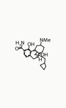 CNC1CC[C@@]2(O)[C@H]3Cc4ccc(C(N)=O)c(O)c4[C@@]2(CCC3CC2CCC2)C1